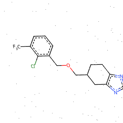 FC(F)(F)c1cccc(COCC2CCc3[nH]cnc3C2)c1Cl